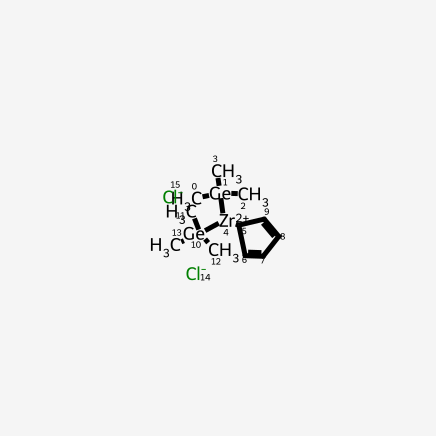 [CH3][Ge]([CH3])([CH3])[Zr+2]([CH]1C=CC=C1)[Ge]([CH3])([CH3])[CH3].[Cl-].[Cl-]